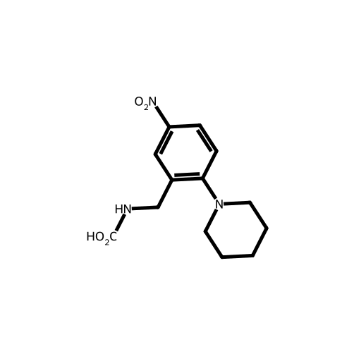 O=C(O)NCc1cc([N+](=O)[O-])ccc1N1CCCCC1